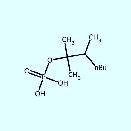 CCCCC(C)C(C)(C)OP(=O)(O)O